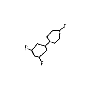 FC1CCC(C2CC(F)CC(F)C2)CC1